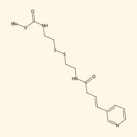 CC(C)(C)OC(=O)NCCSSCCNC(=O)CC=Cc1cccnc1